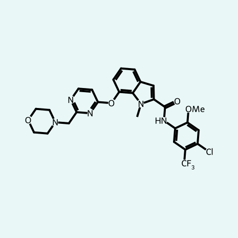 COc1cc(Cl)c(C(F)(F)F)cc1NC(=O)c1cc2cccc(Oc3ccnc(CN4CCOCC4)n3)c2n1C